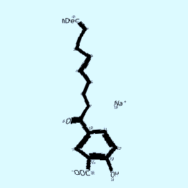 CCCCCCCCCCCCCCCCCC(=O)c1ccc(O)c(C(=O)[O-])c1.[Na+]